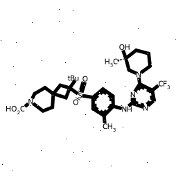 Cc1cc(S(=O)(=O)C2(C(C)(C)C)CC3(CCN(C(=O)O)CC3)C2)ccc1Nc1ncc(C(F)(F)F)c(N2CCC[C@](C)(O)C2)n1